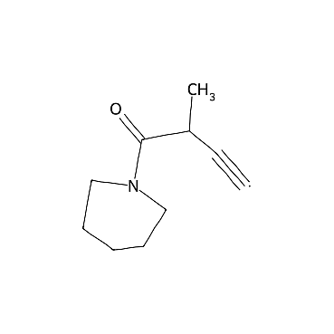 [C]#CC(C)C(=O)N1CCCCC1